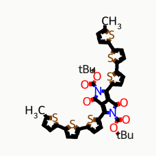 Cc1ccc(-c2ccc(-c3ccc(C4=C5C(=O)N(C(=O)OC(C)(C)C)C(c6ccc(-c7ccc(-c8ccc(C)s8)s7)s6)=C5C(=O)N4C(=O)OC(C)(C)C)s3)s2)s1